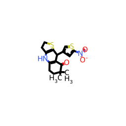 CC1(C)CCC2=C(C1=O)C(c1csc([N+](=O)[O-])c1)C1=C(CCS1)N2